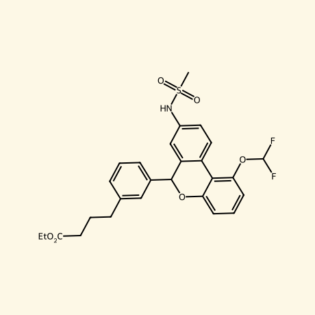 CCOC(=O)CCCc1cccc(C2Oc3cccc(OC(F)F)c3-c3ccc(NS(C)(=O)=O)cc32)c1